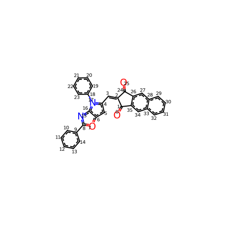 O=C1C(=Cc2cc3oc(-c4ccccc4)nc3n2-c2ccccc2)C(=O)c2cc3ccccc3cc21